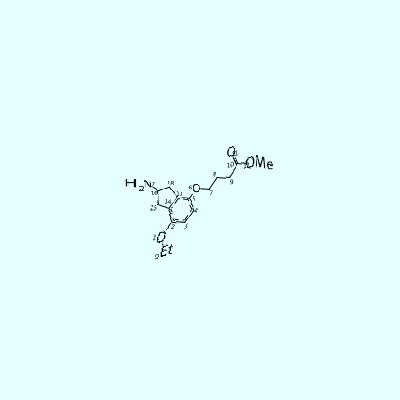 CCOc1ccc(OCCCC(=O)OC)c2c1CC(N)C2